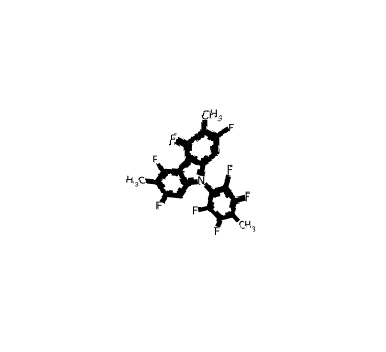 Cc1c(F)c(F)c(-n2c3cc(F)c(C)c(F)c3c3c(F)c(C)c(F)cc32)c(F)c1F